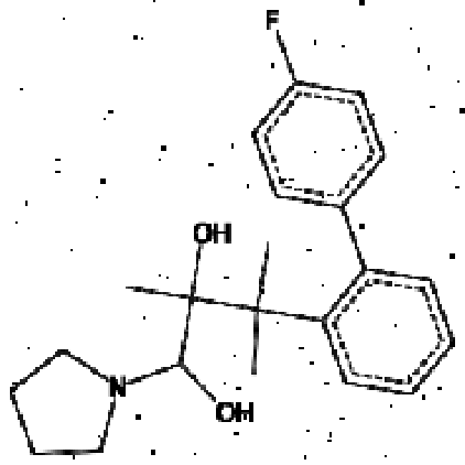 CC(C)(c1ccccc1-c1ccc(F)cc1)C(C)(O)C(O)N1CCCC1